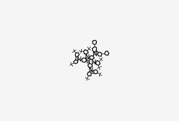 CC(C)(C)c1cc(N2c3cc(-n4c5ccc(C(C)(C)C)cc5c5cc(C(C)(C)C)ccc54)ccc3B3c4ccc(-n5c6ccc(C(C)(C)C)cc6c6cc(C(C)(C)C)ccc65)cc4N(c4cc(C(C)(C)C)cc(C(C)(C)C)c4)c4cc(-n5c6ccc(-c7ccccc7)cc6c6cc(-c7ccccc7)ccc65)cc2c43)cc(C(C)(C)C)c1